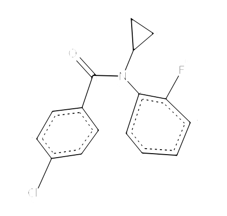 O=C(c1ccc(Cl)cc1)N(c1ccccc1F)C1CC1